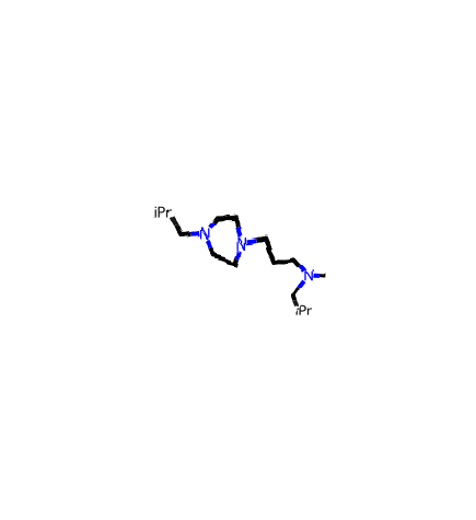 CC(C)CN(C)CCCN1CCN(CC(C)C)CC1